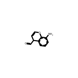 Nc1cccc2c1OC=CC2C=O